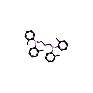 Cc1ccccc1P(CCCP(c1ccccc1C)c1ccccc1C)c1ccccc1C